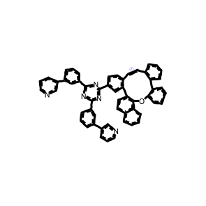 C1=C\c2ccc(-c3nc(-c4cccc(-c5cccnc5)c4)nc(-c4cccc(-c5cccnc5)c4)n3)cc2-c2ccc3ccccc3c2Oc2ccccc2-c2ccccc2/1